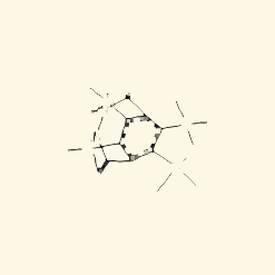 C[Si](C)(C)c1c2c([Si](C)(C)C)c([Si](C)(C)C)c(c1[Si](C)(C)C)C(=O)NNC2=O